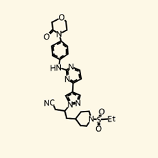 CCS(=O)(=O)N1CCC(CC(CC#N)n2cc(-c3ccnc(Nc4ccc(N5CCOCC5=O)cc4)n3)cn2)CC1